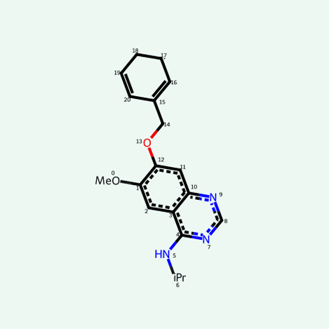 COc1cc2c(NC(C)C)ncnc2cc1OCC1=C[CH]CC=C1